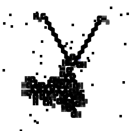 CCCCCCCCCCCCC/C=C/[C@@H](O)[C@H](CO[C@@H]1OC(CO)[C@@H](O[C@@H]2OC(CO)[C@H](O[C@@H]3OC(CO)[C@H](O)[C@H](O[C@@H]4OC(CO)[C@H](O)[C@H](O)C4O)C3NC(C)=O)[C@H](O[C@]3(C(=O)O)CC(O)[C@@H](NC(C)=O)C([C@H](O)[C@H](O)CO)O3)C2O)[C@H](O)C1O)NC(=O)CCCCCCCCCCCCCCC